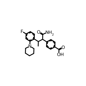 CC(c1ccc(F)cc1N1CCCCC1)C(C(N)=O)c1ccc(C(=O)O)cc1